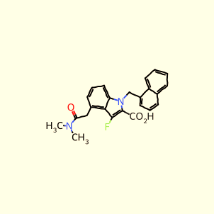 CN(C)C(=O)Cc1cccc2c1c(F)c(C(=O)O)n2Cc1cccc2ccccc12